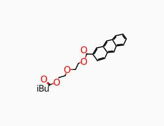 CCC(C)C(=O)OCCOCCOC(=O)c1ccc2cc3ccccc3cc2c1